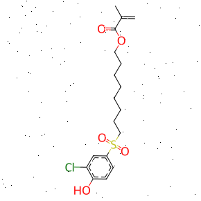 C=C(C)C(=O)OCCCCCCCCS(=O)(=O)c1ccc(O)c(Cl)c1